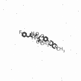 CN1CCC2(CC1)CCN(c1ccc3c(c1)N(C)C(=O)C(NC(=O)n1cc(Cc4ccc(F)cc4)cn1)CO3)CC2